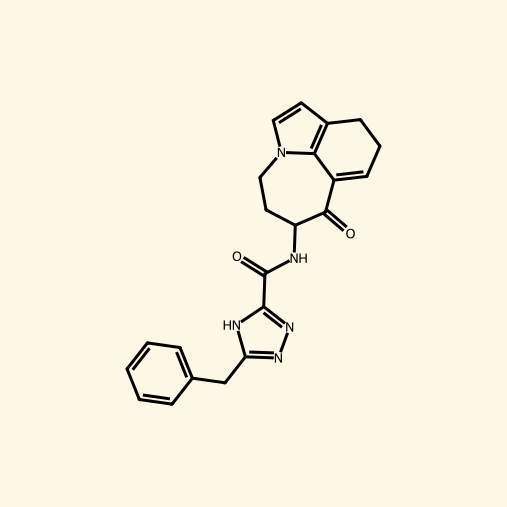 O=C(NC1CCn2ccc3c2C(=CCC3)C1=O)c1nnc(Cc2ccccc2)[nH]1